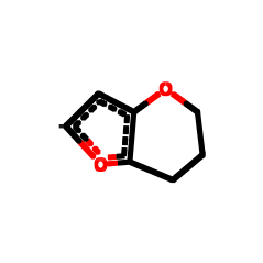 [c]1cc2c(o1)CCCO2